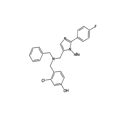 CCCCn1c(CN(Cc2ccccc2)Cc2ccc(O)cc2Cl)cnc1-c1ccc(F)cc1